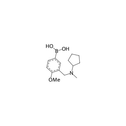 COc1ccc(B(O)O)cc1CN(C)C1CCCC1